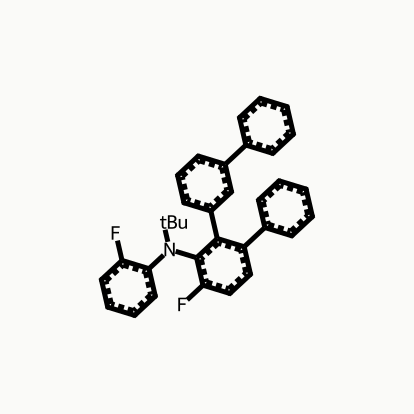 CC(C)(C)N(c1ccccc1F)c1c(F)ccc(-c2ccccc2)c1-c1cccc(-c2ccccc2)c1